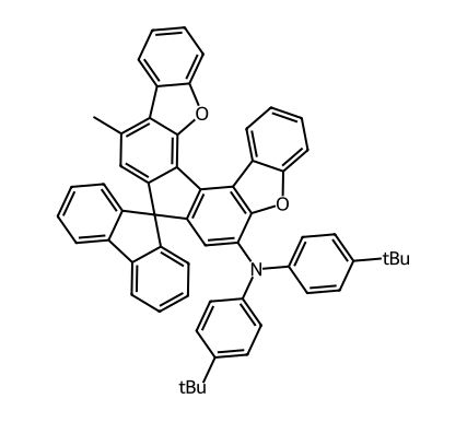 Cc1cc2c(c3oc4ccccc4c13)-c1c(cc(N(c3ccc(C(C)(C)C)cc3)c3ccc(C(C)(C)C)cc3)c3oc4ccccc4c13)C21c2ccccc2-c2ccccc21